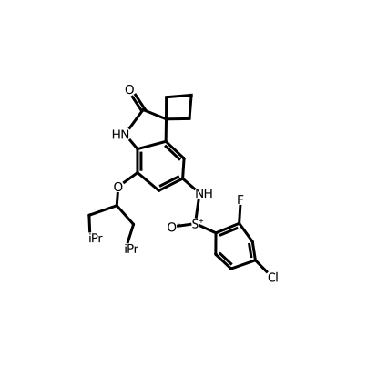 CC(C)CC(CC(C)C)Oc1cc(N[S+]([O-])c2ccc(Cl)cc2F)cc2c1NC(=O)C21CCC1